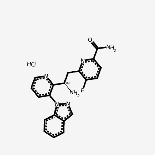 Cl.NC(=O)c1ccc(F)c(C[C@H](N)c2ncccc2-n2ncc3ccccc32)n1